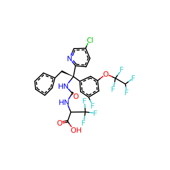 O=C(NC(C(=O)O)C(F)(F)F)N[C@@](Cc1ccccc1)(c1cc(F)cc(OC(F)(F)C(F)F)c1)c1ccc(Cl)cn1